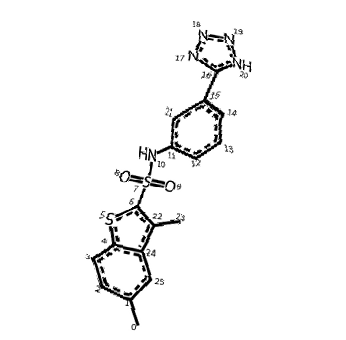 Cc1ccc2sc(S(=O)(=O)Nc3cccc(-c4nnn[nH]4)c3)c(C)c2c1